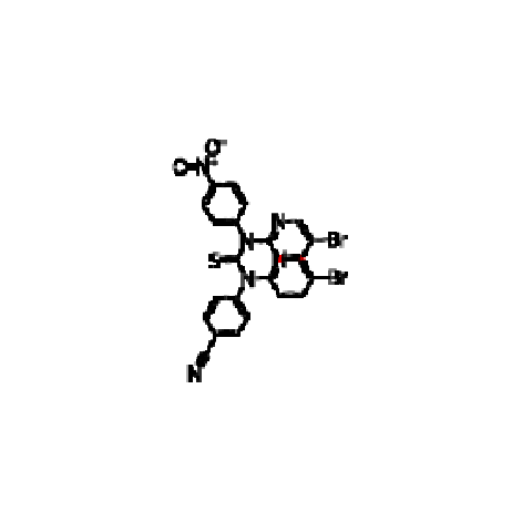 N#Cc1ccc(N(C(=S)N(c2ccc([N+](=O)[O-])cc2)c2ccc(Br)cn2)c2ccc(Br)cn2)cc1